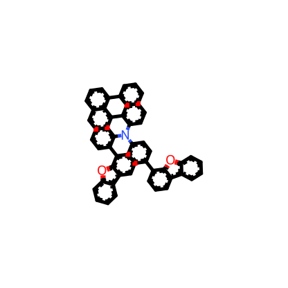 c1ccc(-c2cccc3cccc(-c4ccccc4N(c4ccc(-c5cccc6c5oc5ccccc56)cc4)c4ccccc4-c4cccc5c4oc4ccccc45)c23)cc1